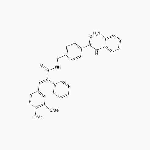 COc1ccc(C=C(C(=O)NCc2ccc(C(=O)Nc3ccccc3N)cc2)c2cccnc2)cc1OC